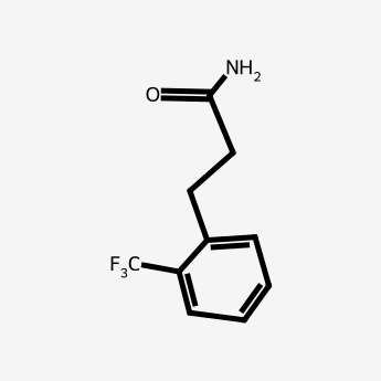 NC(=O)CCc1ccccc1C(F)(F)F